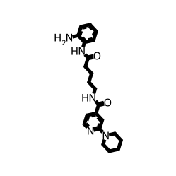 Nc1ccccc1NC(=O)CCCCNC(=O)c1ccnc(N2CCCCC2)c1